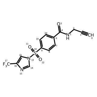 C#CCNC(=O)c1ccc(S(=O)(=O)n2cnc(C(F)(F)F)c2)cc1